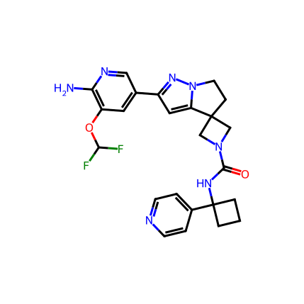 Nc1ncc(-c2cc3n(n2)CCC32CN(C(=O)NC3(c4ccncc4)CCC3)C2)cc1OC(F)F